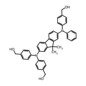 CC1(C)c2cc(N(c3ccccc3)c3ccc(CO)cc3)ccc2-c2ccc(N(c3ccc(CO)cc3)c3ccc(CO)cc3)cc21